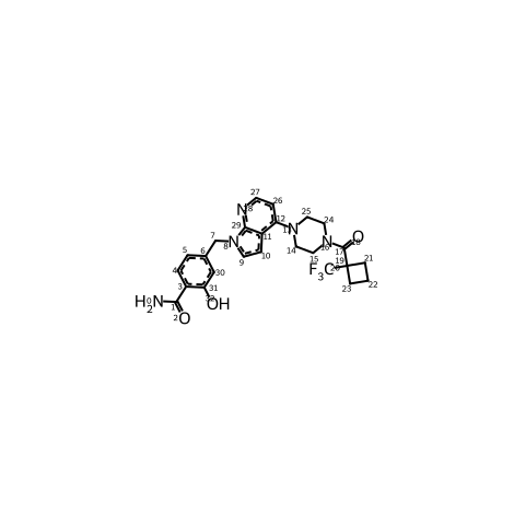 NC(=O)c1ccc(Cn2ccc3c(N4CCN(C(=O)C5(C(F)(F)F)CCC5)CC4)ccnc32)cc1O